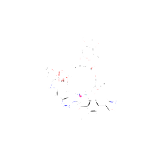 CC[C@H]1OC(=O)[C@H](C)[C@@H](O[C@H]2C[C@@](C)(OC)[C@@H](O)[C@H](C)O2)[C@H](C)[C@@H](O[C@@H]2O[C@H](C)C[C@H](N(C)CCc3cn([C@H](CF)[C@H](OC)c4ccc(-c5cnoc5)cc4)nn3)[C@H]2O)[C@](C)(O)C[C@@H](C)CN(C)[C@H](C)[C@@H](O)[C@]1(C)O